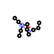 c1ccc(-c2ccc(-c3nc(-c4ccc(-c5ccccc5)cc4)nc(-c4cccc5oc6c(ccc7c8ccccc8n(-c8ccc(-c9cccc(-c%10ccccc%10)c9)cc8)c76)c45)n3)cc2)cc1